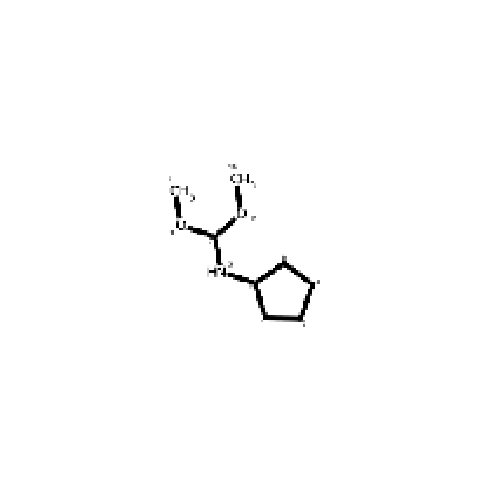 COC(NC1CCCC1)OC